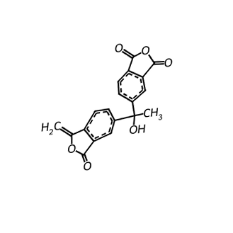 C=C1OC(=O)c2cc(C(C)(O)c3ccc4c(c3)C(=O)OC4=O)ccc21